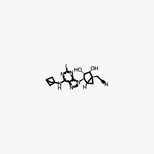 N#CC[C@@]12C[C@@H]1[C@@H](n1cnc3c(NC45CC(C4)C5)nc(I)nc31)[C@H](O)[C@@H]2O